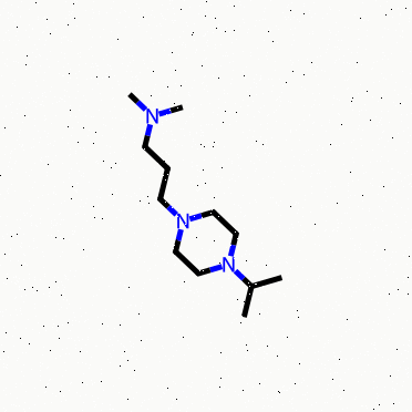 CC(C)N1CCN(CCCN(C)C)CC1